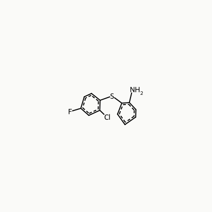 Nc1ccccc1Sc1ccc(F)cc1Cl